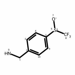 [NH]Cc1ccc([S+]([O-])C(F)(F)F)cc1